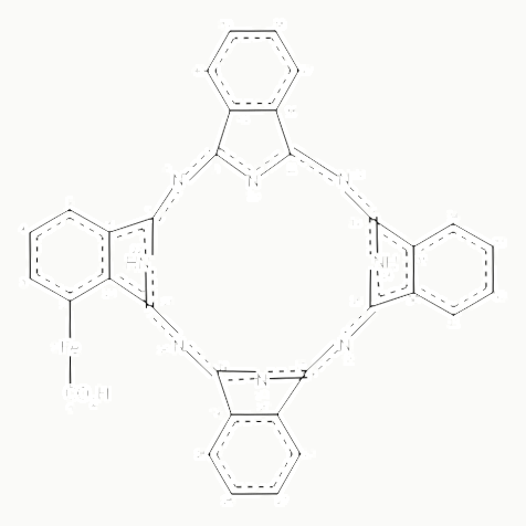 O=[C](O)[Fe][c]1cccc2c3nc4nc(nc5[nH]c(nc6nc(nc([nH]3)c12)-c1ccccc1-6)c1ccccc51)-c1ccccc1-4